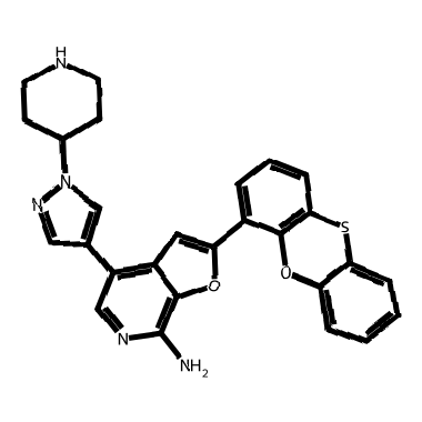 Nc1ncc(-c2cnn(C3CCNCC3)c2)c2cc(-c3cccc4c3Oc3ccccc3S4)oc12